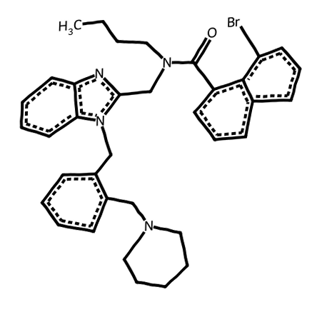 CCCCN(Cc1nc2ccccc2n1Cc1ccccc1CN1CCCCC1)C(=O)c1cccc2cccc(Br)c12